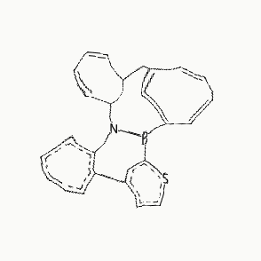 C1=C2C=CC=CC=1C1C=CC=CC1N1B2c2sccc2-c2ccccc21